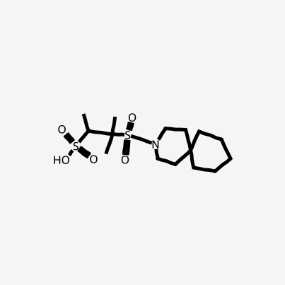 CC(C(C)(C)S(=O)(=O)N1CCC2(CCCCC2)CC1)S(=O)(=O)O